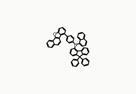 c1ccc(C2(c3ccccc3)c3ccccc3-c3c(N(c4ccc(-c5cccc6oc7c8ccccc8ccc7c56)cc4)c4cccc5ccccc45)cccc32)cc1